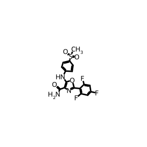 CS(=O)(=O)c1ccc(Nc2oc(-c3c(F)cc(F)cc3F)nc2C(N)=O)cc1